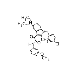 CCN(CC)c1ccc2c(c1)c(C(=O)C(=O)Nc1ccnc(OC)c1)c(C)n2Cc1ccc(Cl)cc1